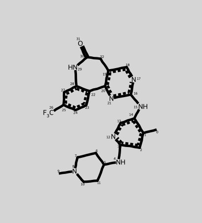 Cc1cc(NC2CCN(C)CC2)ncc1Nc1ncc2c(n1)-c1ccc(C(F)(F)F)cc1NC(=O)C2